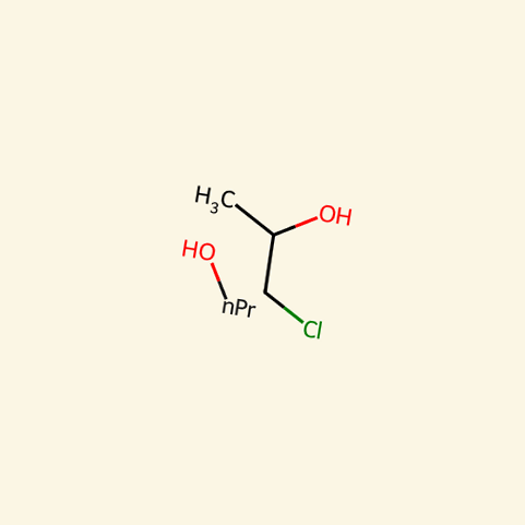 CC(O)CCl.CCCO